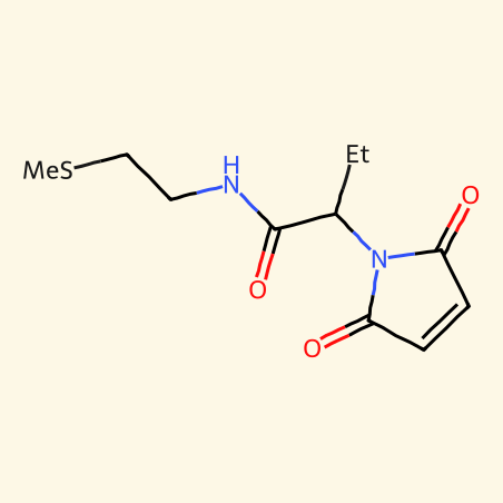 CCC(C(=O)NCCSC)N1C(=O)C=CC1=O